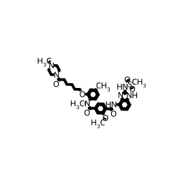 COc1cc(C(=O)N(C)c2ccc(C)cc2OCCCCCC(=O)N2CCN(C)CC2)ccc1C(=O)Nc1cccc2[nH]c(NS(C)(=O)=O)nc12